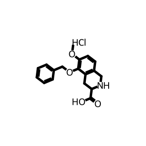 COc1ccc2c(c1OCc1ccccc1)CC(C(=O)O)NC2.Cl